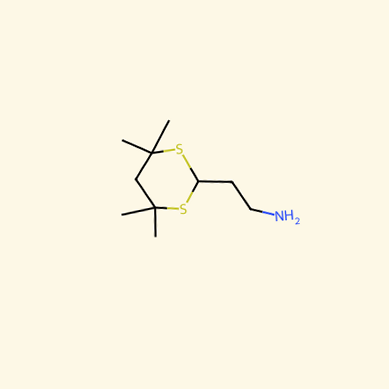 CC1(C)CC(C)(C)SC(CCN)S1